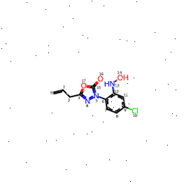 C=CCc1nn(-c2ccc(Cl)cc2NO)c(=O)o1